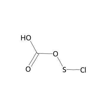 O=C(O)OSCl